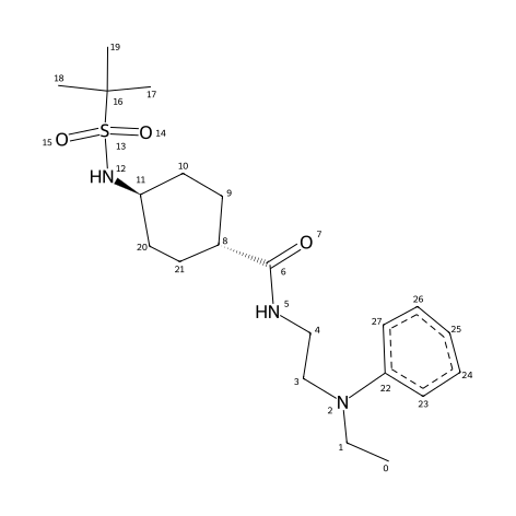 CCN(CCNC(=O)[C@H]1CC[C@H](NS(=O)(=O)C(C)(C)C)CC1)c1ccccc1